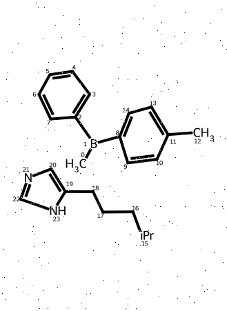 CB(c1ccccc1)c1ccc(C)cc1.CC(C)CCCc1cnc[nH]1